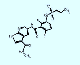 CCCS(=O)(=O)Nc1ccc(F)c(C(=O)Nc2cnc3[nH]cc(C(=O)NC)c3c2)c1F